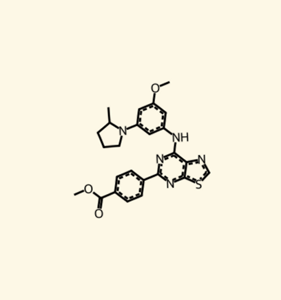 COC(=O)c1ccc(-c2nc(Nc3cc(OC)cc(N4CCCC4C)c3)c3ncsc3n2)cc1